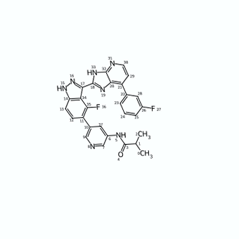 CC(C)C(=O)Nc1cncc(-c2ccc3[nH]nc(-c4nc5c(-c6cccc(F)c6)ccnc5[nH]4)c3c2F)c1